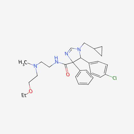 CCOCCN(C)CCNC(=O)C1(c2ccccc2)N=CN(CC2CC2)C1c1ccc(Cl)cc1